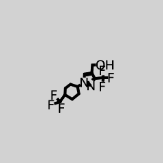 OCc1cn(C2CCC(C(F)(F)F)CC2)nc1C(F)(F)F